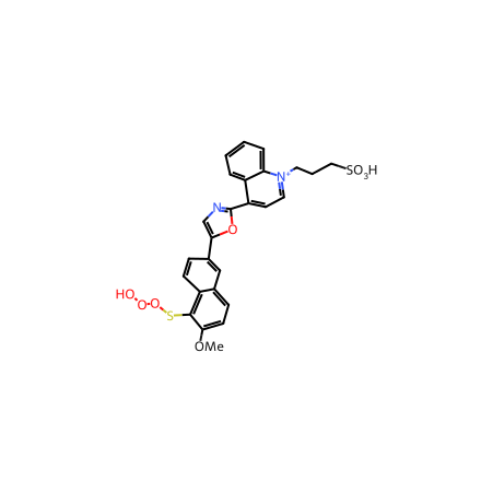 COc1ccc2cc(-c3cnc(-c4cc[n+](CCCS(=O)(=O)O)c5ccccc45)o3)ccc2c1SOOO